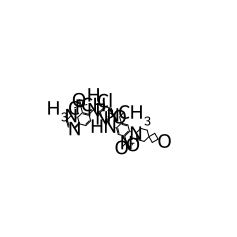 COc1cc(N2CCC3(CC2)CC(=O)C3)c([N+](=O)[O-])cc1Nc1ncc(Cl)c(Nc2ccc3nccnc3c2P(C)(C)=O)n1